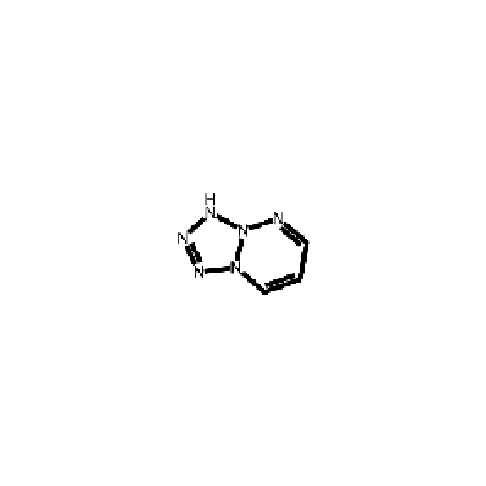 C1=CN2N=NNN2N=C1